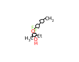 C=CC1CCC(C2CCC(C(F)(F)Oc3cc(C)c(O)c(CC)c3)CC2)CC1